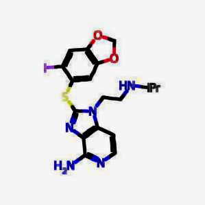 CC(C)NCCn1c(Sc2cc3c(cc2I)OCO3)nc2c(N)nccc21